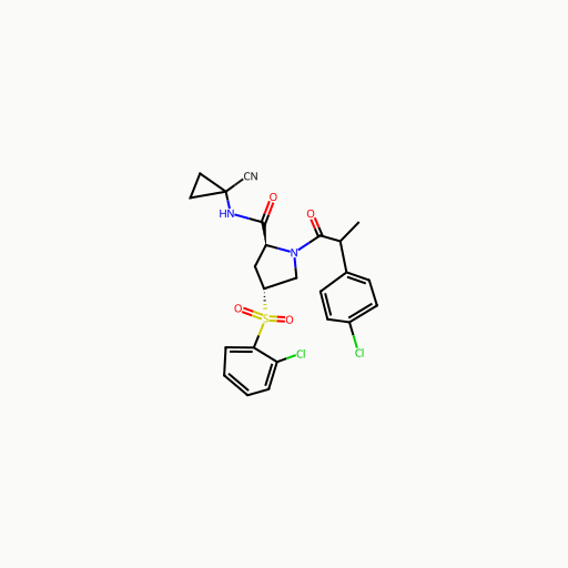 CC(C(=O)N1C[C@H](S(=O)(=O)c2ccccc2Cl)C[C@H]1C(=O)NC1(C#N)CC1)c1ccc(Cl)cc1